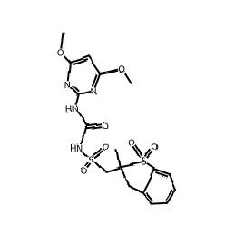 COc1cc(OC)nc(NC(=O)NS(=O)(=O)CC2(C)Cc3ccccc3S2(=O)=O)n1